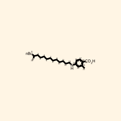 CCCCC(F)CCCCCCCCCCCNc1ccc(C(=O)O)c(C)c1